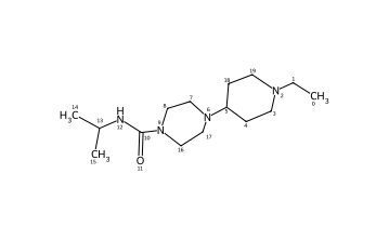 CCN1CCC(N2CCN(C(=O)NC(C)C)CC2)CC1